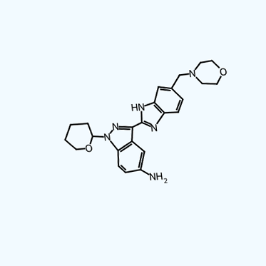 Nc1ccc2c(c1)c(-c1nc3ccc(CN4CCOCC4)cc3[nH]1)nn2C1CCCCO1